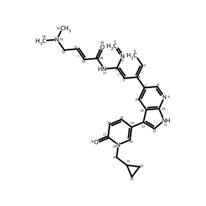 C=N/C(=C\C(=C/C)c1cnc2[nH]cc(-c3ccc(=O)n(CC4CC4)c3)c2c1)NC(=O)/C=C/CN(C)C